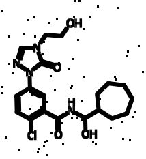 O=C(NC(O)C1CCCCCC1)c1cc(-n2ncn(CCO)c2=O)ccc1Cl